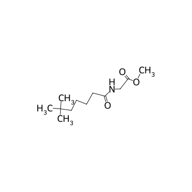 COC(=O)CNC(=O)CCCCC(C)(C)C